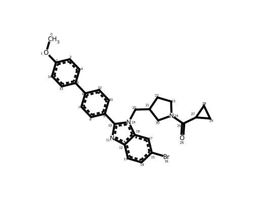 COc1ccc(-c2ccc(-c3nc4ccc(Br)cc4n3CC3CCN(C(=O)C4CC4)C3)cc2)cc1